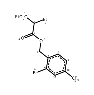 CCOC(=O)C(CC)C(=O)OCc1ccc(C(F)(F)F)cc1Br